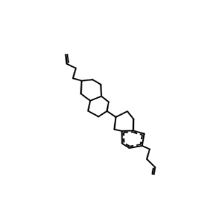 C=CCCc1ccc2c(c1)CCC(C1CCC3CC(CCC=C)CCC3C1)C2